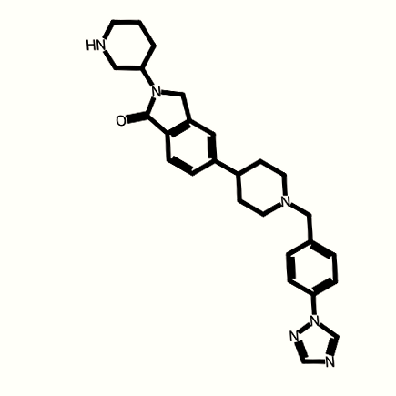 O=C1c2ccc(C3CCN(Cc4ccc(-n5cncn5)cc4)CC3)cc2CN1C1CCCNC1